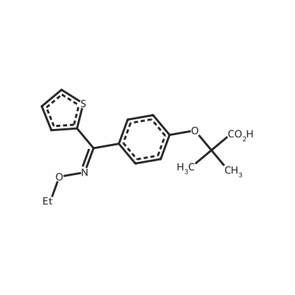 CCON=C(c1ccc(OC(C)(C)C(=O)O)cc1)c1cccs1